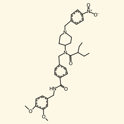 CCC(CC)C(=O)N(Cc1ccc(C(=O)NCc2ccc(OC)c(OC)c2)cc1)C1CCN(Cc2ccc([N+](=O)[O-])cc2)CC1